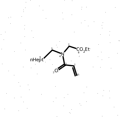 C=CC(=O)N(CCCCCCCC)CC(=O)OCC